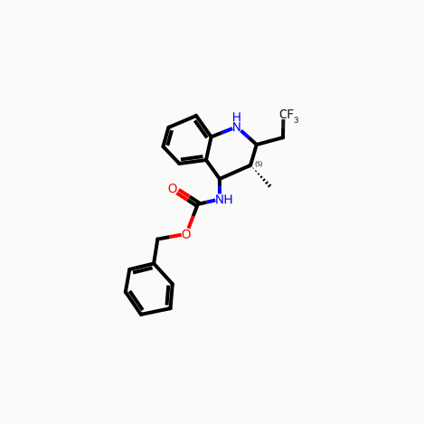 C[C@H]1C(CC(F)(F)F)Nc2ccccc2C1NC(=O)OCc1ccccc1